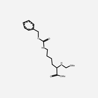 COC(=O)C(CCCCNC(=O)OCc1ccccc1)NCSC